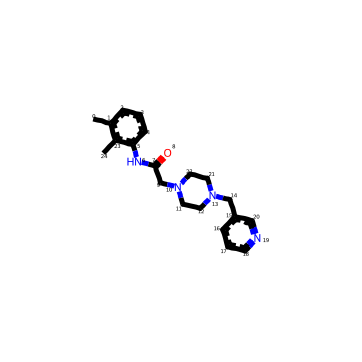 Cc1cccc(NC(=O)CN2CCN(Cc3cccnc3)CC2)c1C